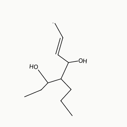 [CH2]C=CC(O)C(CCC)C(O)CC